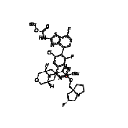 CC(C)(C)OC(=O)Nc1nc2c(-c3c(Cl)cc4c(N5[C@@H]6COC[C@H]5CN(C(=O)OC(C)(C)C)C6)nc(OC[C@@]56CCCN5C[C@H](F)C6)nc4c3F)ccc(F)c2s1